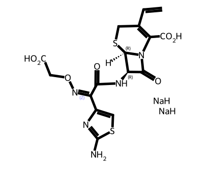 C=CC1=C(C(=O)O)N2C(=O)[C@@H](NC(=O)/C(=N\OCC(=O)O)c3csc(N)n3)[C@H]2SC1.[NaH].[NaH]